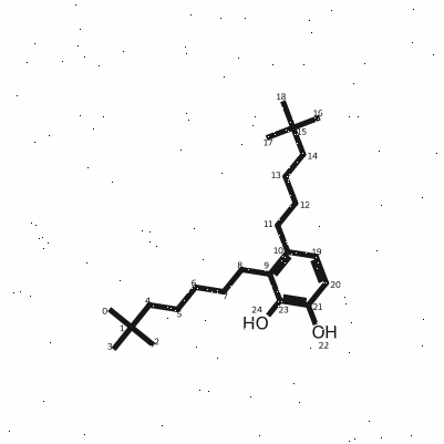 CC(C)(C)CCCCCc1c(CCCCC(C)(C)C)ccc(O)c1O